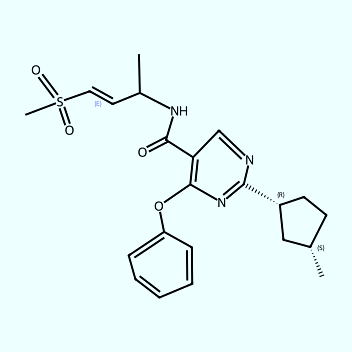 CC(/C=C/S(C)(=O)=O)NC(=O)c1cnc([C@@H]2CC[C@H](C)C2)nc1Oc1ccccc1